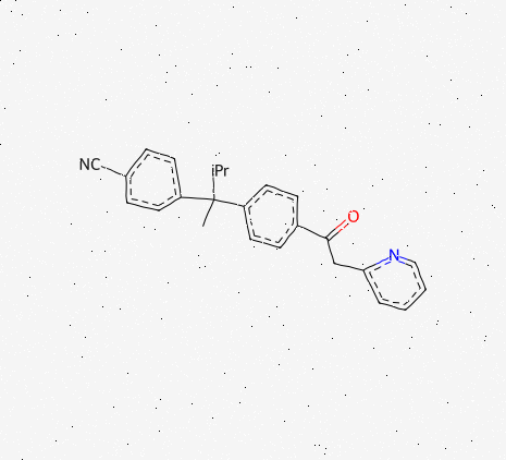 CC(C)C(C)(c1ccc(C#N)cc1)c1ccc(C(=O)Cc2ccccn2)cc1